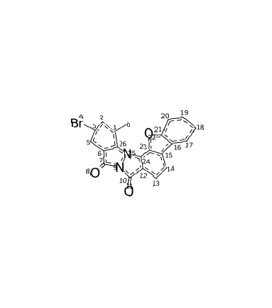 Cc1cc(Br)cc2c(=O)n3c(=O)c4ccc5c6ccccc6oc5c4n3c12